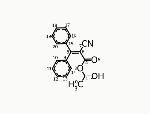 CC(O)OC(=O)C(C#N)=C(c1ccccc1)c1ccccc1